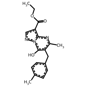 CCOC(=O)c1cnn2c(O)c(Cc3ccc(C)cc3)c(C)nc12